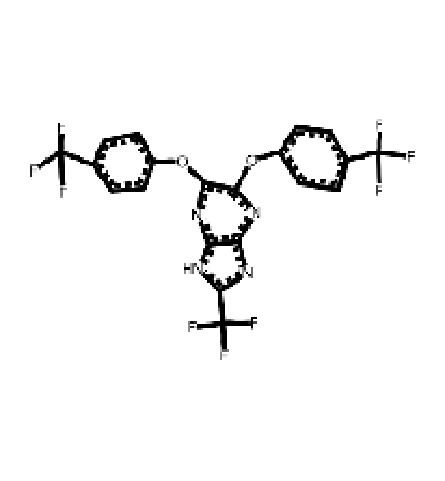 FC(F)(F)c1ccc(Oc2nc3nc(C(F)(F)F)[nH]c3nc2Oc2ccc(C(F)(F)F)cc2)cc1